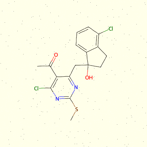 CSc1nc(Cl)c(C(C)=O)c(CC2(O)CCc3c(Cl)cccc32)n1